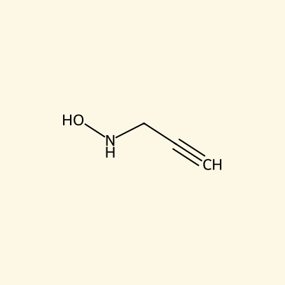 C#CCNO